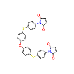 O=C1C=CC(=O)N1c1ccc(Sc2ccc(Oc3ccc(Sc4ccc(N5C(=O)C=CC5=O)cc4)cc3)cc2)cc1